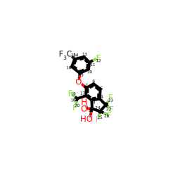 OC1(O)c2c(ccc(Oc3cc(F)cc(C(F)(F)F)c3)c2C(F)F)C(F)(F)C1(F)F